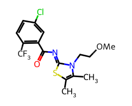 COCCn1c(C)c(C)s/c1=N\C(=O)c1cc(Cl)ccc1C(F)(F)F